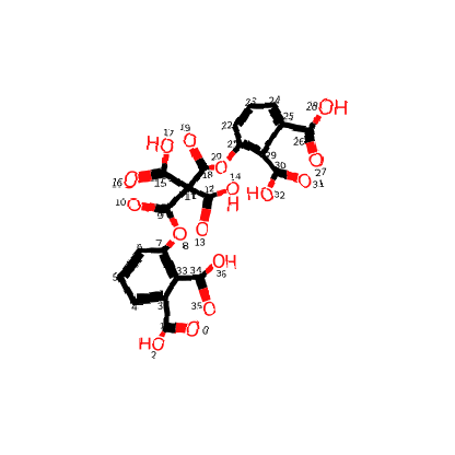 O=C(O)c1cccc(OC(=O)C(C(=O)O)(C(=O)O)C(=O)Oc2cccc(C(=O)O)c2C(=O)O)c1C(=O)O